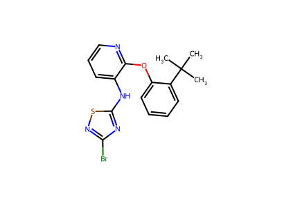 CC(C)(C)c1ccccc1Oc1ncccc1Nc1nc(Br)ns1